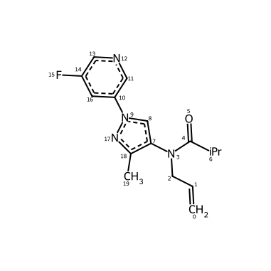 C=CCN(C(=O)C(C)C)c1cn(-c2cncc(F)c2)nc1C